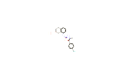 Cc1nc(Nc2cccc3c2CC(O)CC3)oc1-c1ccc(C(F)F)cc1